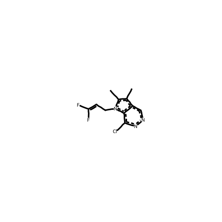 Cc1c(C)n(CC=C(F)F)c2c(Cl)nncc12